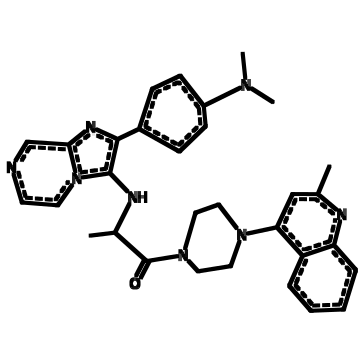 Cc1cc(N2CCN(C(=O)C(C)Nc3c(-c4ccc(N(C)C)cc4)nc4cnccn34)CC2)c2ccccc2n1